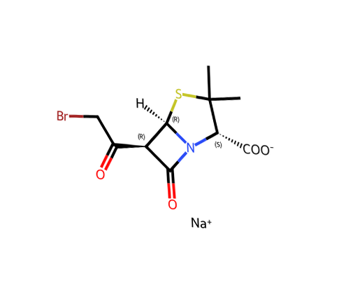 CC1(C)S[C@@H]2[C@H](C(=O)CBr)C(=O)N2[C@H]1C(=O)[O-].[Na+]